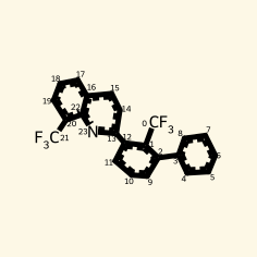 FC(F)(F)c1c(-c2ccccc2)cccc1-c1ccc2cccc(C(F)(F)F)c2n1